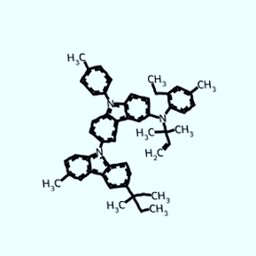 C=CC(C)(C)N(c1ccc2c(c1)c1cc(-n3c4ccc(C)cc4c4cc(C(C)(CC)CC)ccc43)ccc1n2-c1ccc(C)cc1)c1ccc(C)cc1CC